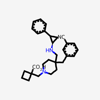 N#Cc1cccc(CC2(CN[C@@H]3CC3c3ccccc3)CCN(CC3(C(=O)O)CCC3)CC2)c1